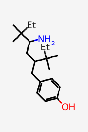 CCC(C)(C)C(N)CC(Cc1ccc(O)cc1)C(C)(C)CC